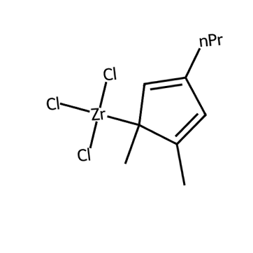 CCCC1=C[C](C)([Zr]([Cl])([Cl])[Cl])C(C)=C1